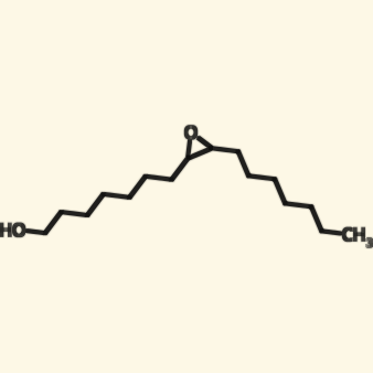 CCCCCCCC1OC1CCCCCCCO